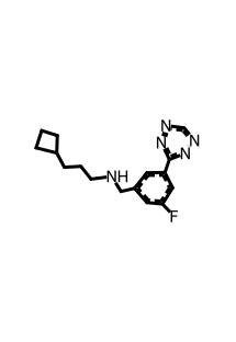 Fc1cc(CNCCCC2CCC2)cc(-c2nncnn2)c1